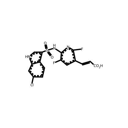 O=C(O)/C=C/c1cc(F)c(NS(=O)(=O)c2c[nH]c3cc(Cl)ccc23)nc1F